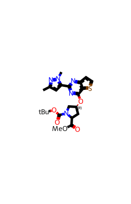 COC(=O)C1C[C@@H](Oc2nc(-c3cc(C)nn3C)nc3ccsc23)CN1C(=O)OC(C)(C)C